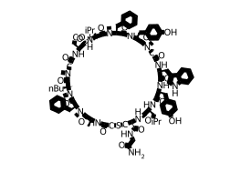 CCCC[C@H]1C(=O)N(C)CC(=O)N[C@@H](CC(=O)O)C(=O)N[C@@H](C(C)C)C(=O)N(C)[C@@H](Cc2ccccc2)C(=O)N[C@@H](Cc2ccc(O)cc2)C(=O)N(C)CC(=O)N[C@@H](Cc2c[nH]c3ccccc23)C(=O)N[C@@H](Cc2ccc(O)cc2)C(=O)N[C@@H](CC(C)C)C(=O)N[C@H](C(=O)NCC(N)=O)CSCC(=O)N[C@@H](C)C(=O)N(C)[C@@H](Cc2ccccc2)C(=O)N1C